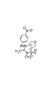 C=C1N[C@@]2(c3cc([N+](=O)[O-])ccc3F)COC[C@H]2S(=O)(=O)N1C